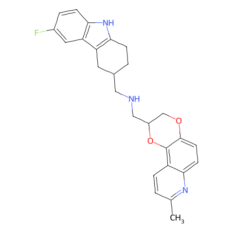 Cc1ccc2c3c(ccc2n1)OCC(CNCC1CCc2[nH]c4ccc(F)cc4c2C1)O3